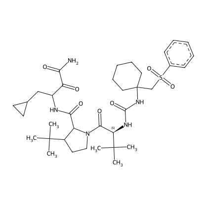 CC(C)(C)C1CCN(C(=O)[C@@H](NC(=O)NC2(CS(=O)(=O)c3ccccc3)CCCCC2)C(C)(C)C)C1C(=O)NC(CC1CC1)C(=O)C(N)=O